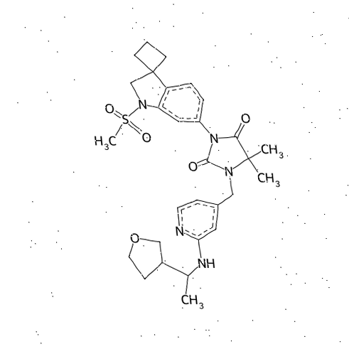 CC(Nc1cc(CN2C(=O)N(c3ccc4c(c3)N(S(C)(=O)=O)CC43CCC3)C(=O)C2(C)C)ccn1)C1CCOC1